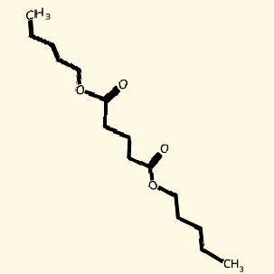 CCCCCOC(=O)CCCC(=O)OCCCCC